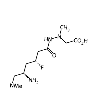 CNC[C@H](N)C[C@@H](F)CC(=O)NN(C)CC(=O)O